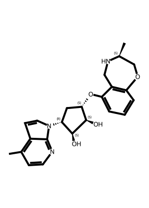 Cc1ccnc2c1ccn2[C@@H]1C[C@H](Oc2cccc3c2CN[C@@H](C)CO3)[C@@H](O)[C@H]1O